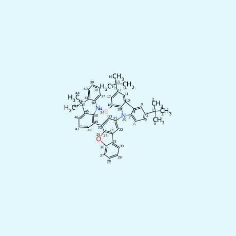 CC(C)(C)c1ccc2c(c1)c1cc(C(C)(C)C)cc3c1n2-c1cc2c(oc4ccccc42)c2c1B3N1c3ccccc3[Si](C)(C)c3cccc-2c31